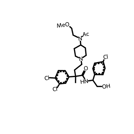 COCCN(C(C)=O)C1CCN(CCC(C)(C(=O)NC(CO)c2ccc(Cl)cc2)c2ccc(Cl)c(Cl)c2)CC1